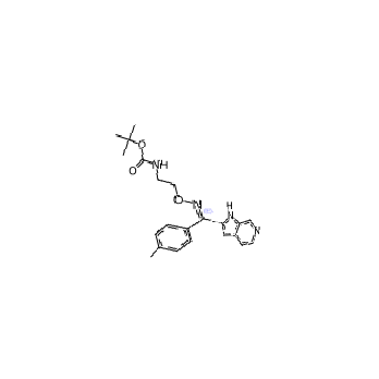 Cc1ccc(/C(=N\OCCNC(=O)OC(C)(C)C)c2cc3ccncc3[nH]2)cc1